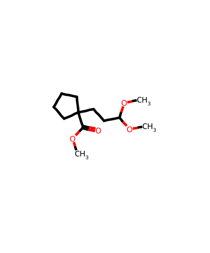 COC(=O)C1(CCC(OC)OC)CCCC1